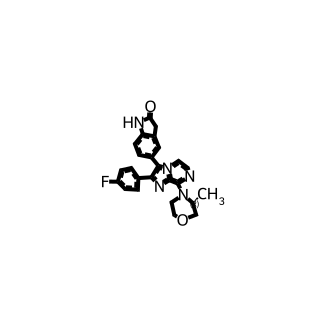 C[C@@H]1COCCN1c1nccn2c(-c3ccc4c(c3)CC(=O)N4)c(-c3ccc(F)cc3)nc12